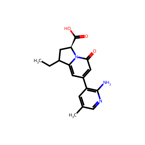 CCC1C[C@@H](C(=O)O)n2c1cc(-c1cc(C)cnc1N)cc2=O